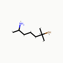 CC(N)CCCC(C)(C)S